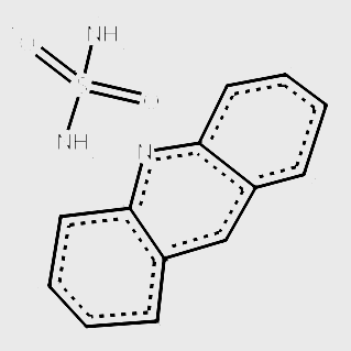 NS(N)(=O)=O.c1ccc2nc3ccccc3cc2c1